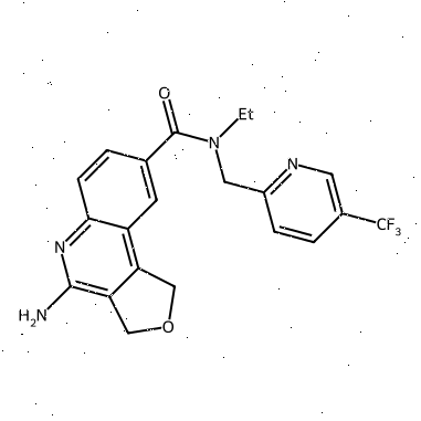 CCN(Cc1ccc(C(F)(F)F)cn1)C(=O)c1ccc2nc(N)c3c(c2c1)COC3